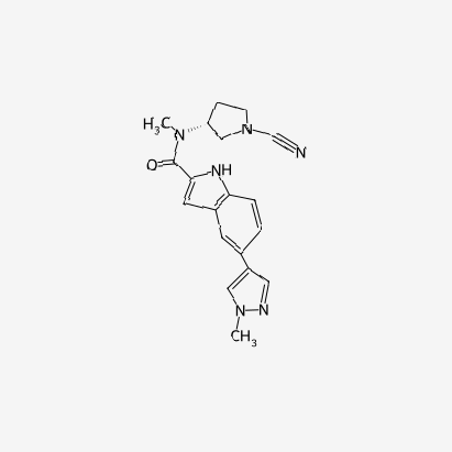 CN(C(=O)c1cc2cc(-c3cnn(C)c3)ccc2[nH]1)[C@@H]1CCN(C#N)C1